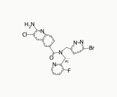 C[C@H](c1ncccc1F)N(Cc1ccc(Br)nn1)C(=O)c1ccc2nc(N)c(Cl)cc2c1